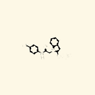 CCOC(=O)c1cc2ccccc2n1CC(=O)Nc1ccc(Cl)cc1